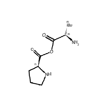 CC[C@@H](C)[C@@H](N)C(=O)OC(=O)[C@@H]1CCCN1